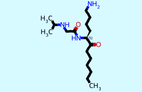 CCCCCCC(=O)[C@H](CCCCN)NC(=O)CNC(C)C